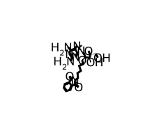 Nc1nc(N)c2ncn([C@@H]3O[C@H](CO)[C@@H](O)[C@H]3OCCCCCN3C(=O)c4ccccc4C3=O)c2n1